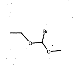 CCOC(Br)OC